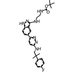 CC(C)(C)OC(=O)NCCNc1n[nH]c2ccc(-c3ccc(NCC(C)(C)c4ccc(F)cc4)nn3)cc12